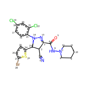 N#CC1C(C(=O)NN2CCCCC2)=NN(c2ccc(Cl)cc2Cl)C1c1ccc(Br)s1